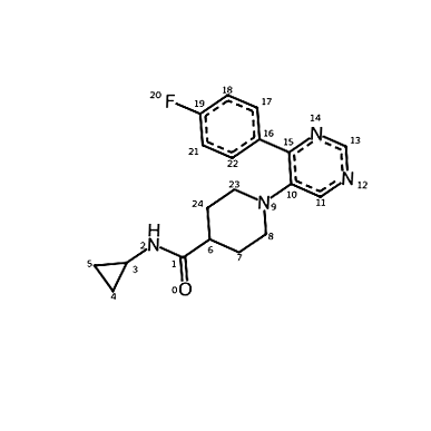 O=C(NC1CC1)C1CCN(c2cncnc2-c2ccc(F)cc2)CC1